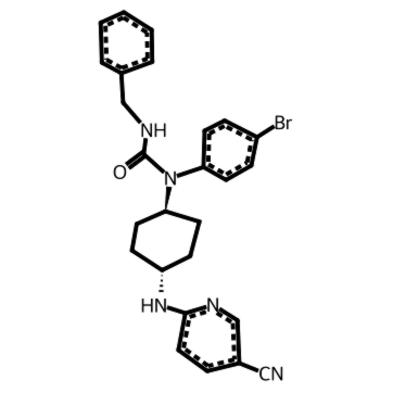 N#Cc1ccc(N[C@H]2CC[C@H](N(C(=O)NCc3ccccc3)c3ccc(Br)cc3)CC2)nc1